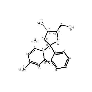 Nc1ccn([C@]2(c3ccccc3)O[C@H](CO)[C@@H](O)[C@H]2O)c(=S)n1